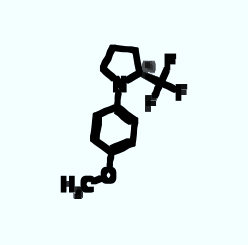 COc1ccc(N2CCC[C@H]2C(F)(F)F)cc1